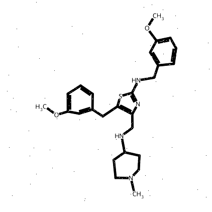 COc1cccc(CNc2nc(CNC3CCN(C)CC3)c(Cc3cccc(OC)c3)s2)c1